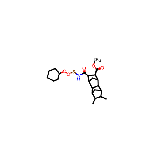 CC1C(C)C2CC1C1C3CC(C(C(=O)OC(C)(C)C)C3C(=O)NSOOC3CCCCC3)C21